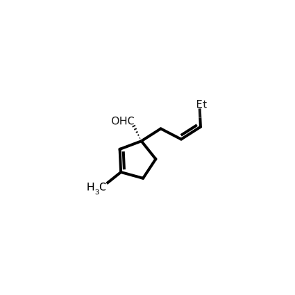 CC/C=C\C[C@]1(C=O)C=C(C)CC1